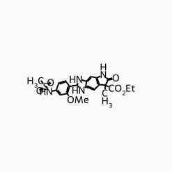 CCOC(=O)C1(C)C(=O)Nc2cc3c(cc21)NC(c1ccc(NS(C)(=O)=O)cc1OC)N3